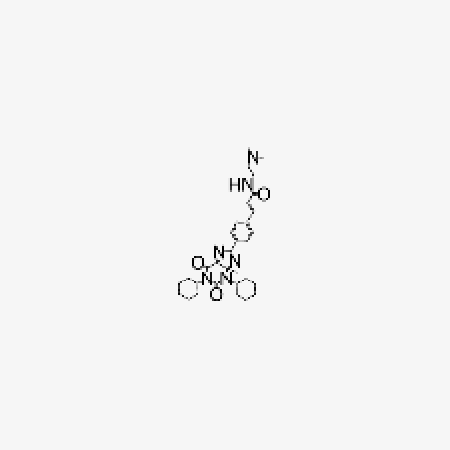 CN(C)CCNC(=O)/C=C/c1ccc(C2=NC3(C)C(=N2)C(=O)N(C2CCCCC2)C(=O)N3C2CCCCC2)cc1